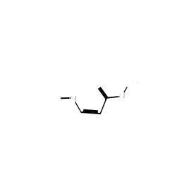 O=CNC(=O)/C=C\NS